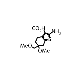 COCC1(OC)CCc2c(sc(N)c2C(=O)O)C1